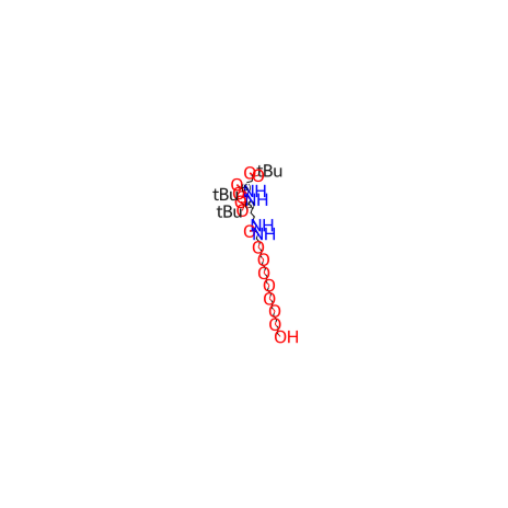 CC(C)(C)OC(=O)CC[C@H](NC(=O)N[C@@H](CCCCNC(=O)NCCOCCOCCOCCOCCOCCOCCOCCO)C(=O)OC(C)(C)C)C(=O)OC(C)(C)C